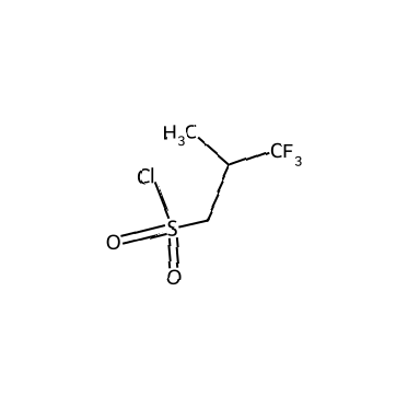 CC(CS(=O)(=O)Cl)C(F)(F)F